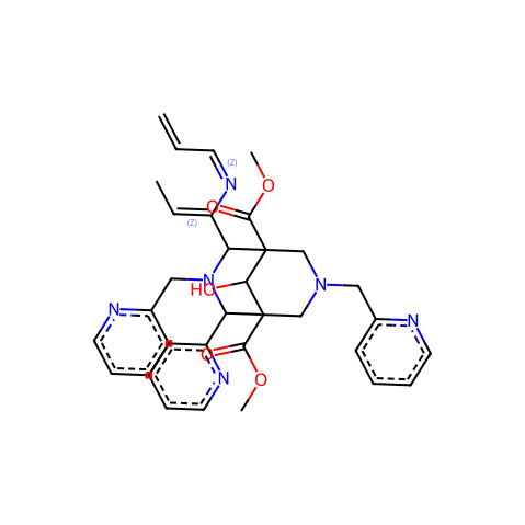 C=C/C=N\C(=C/C)C1N(Cc2ccccn2)C(c2ccccn2)C2(C(=O)OC)CN(Cc3ccccn3)CC1(C(=O)OC)C2O